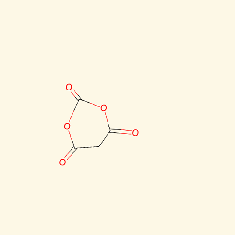 O=C1CC(=O)OC(=O)O1